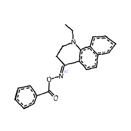 CCN1CC/C(=N\OC(=O)c2ccccc2)c2ccc3ccccc3c21